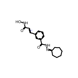 O=C(/C=C/c1cccc(C(=O)NN=C2CCCCCC2)c1)NO